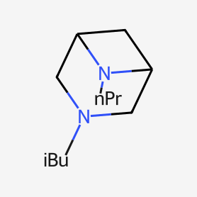 CCCN1C2CC1CN(C(C)CC)C2